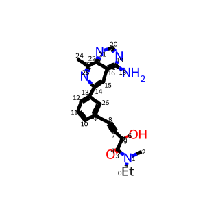 CCN(C)C(=O)[C@H](O)C#Cc1cccc(-c2cc3c(N)ncnc3c(C)n2)c1